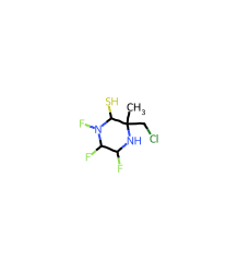 CC1(CCl)NC(F)C(F)N(F)C1S